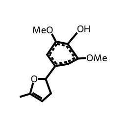 COc1cc(C2CC=C(C)O2)cc(OC)c1O